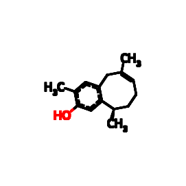 C/C1=C/CC[C@@H](C)c2cc(O)c(C)cc2C1